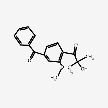 COc1cc(C(=O)c2ccccc2)ccc1C(=O)C(C)(C)O